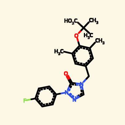 Cc1cc(Cn2cnn(-c3ccc(F)cc3)c2=O)cc(C)c1OC(C)(C)C(=O)O